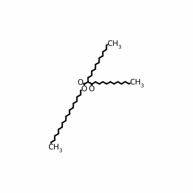 CCCCCCCCCCCCCCCCCCOC(=O)C(CCCCCCCCCCCC)C(=O)CCCCCCCCCCC